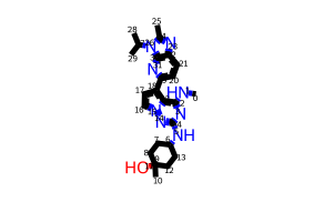 CNc1nc(NC2CCC(C)(O)CC2)nn2ccc(-c3ccc4nc(C)n(C(C)C)c4n3)c12